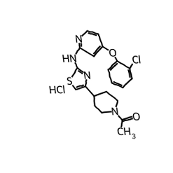 CC(=O)N1CCC(c2csc(Nc3cc(Oc4ccccc4Cl)ccn3)n2)CC1.Cl